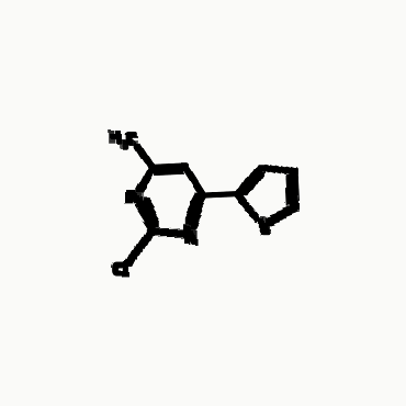 Cc1cc(-c2cccs2)nc(Cl)n1